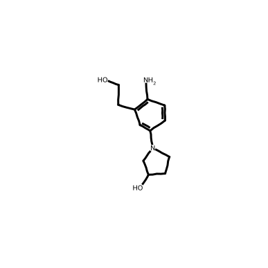 Nc1ccc(N2CCC(O)C2)cc1CCO